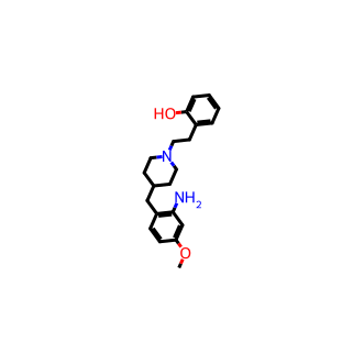 COc1ccc(CC2CCN(CCc3ccccc3O)CC2)c(N)c1